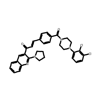 O=C(C=Cc1ccc(C(=O)N2CCN(c3cccc(Cl)c3Cl)CC2)cc1)c1cc2ccccc2nc1N1CCCC1